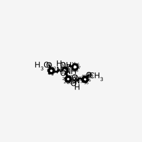 COc1cccc(CNC[C@H](O)[C@H](CC2CCCCC2)NC(=O)c2cccc(S(=O)(=O)NCc3cccc(OC)c3)c2)c1